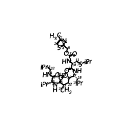 Cc1csc(COC(=O)N[C@@H](CSC(C)C)C(=O)N[C@H](CC(C)C)[C@@H](O)C[C@@H](C)C(=O)N[C@@H](C(=O)NCC(C)C)C(C)C)n1